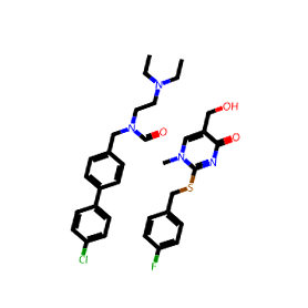 CCN(CC)CCN(C=O)Cc1ccc(-c2ccc(Cl)cc2)cc1.Cn1cc(CO)c(=O)nc1SCc1ccc(F)cc1